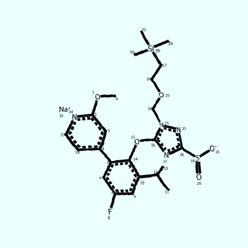 COc1cc(-c2cc(F)cc(C(C)C)c2Oc2nc(S(=O)[O-])nn2COCC[Si](C)(C)C)ccn1.[Na+]